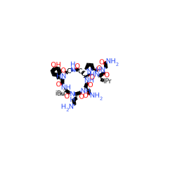 CC[C@H](C)[C@@H]1NC(=O)[C@H](Cc2ccc(O)cc2)NC(=O)CNC(=O)CC[C@@H](C(=O)N2CCC[C@H]2C(=O)N[C@@H](CC(C)C)C(=O)NCC(N)=O)NC(=O)[C@H](CC(N)=O)NC(=O)[C@H](CCCN)NC1=O